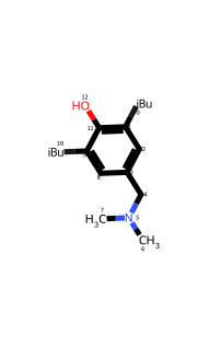 CCC(C)c1cc(CN(C)C)cc(C(C)CC)c1O